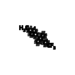 Cc1cc2ccc3cc(-c4c5ccccc5c(-c5ccc(C(F)(F)F)cc5)c5ccccc45)cc4ccc(c1)c2c34